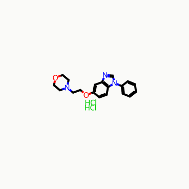 Cl.Cl.c1ccc(-n2cnc3cc(OCCN4CCOCC4)ccc32)cc1